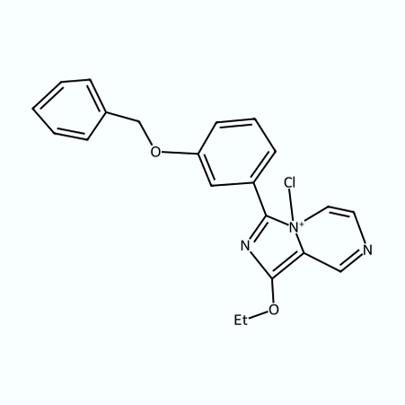 CCOC1=C2C=NC=C[N+]2(Cl)C(c2cccc(OCc3ccccc3)c2)=N1